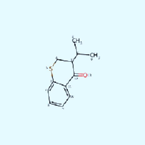 CC(C)C1CSc2ccccc2C1=O